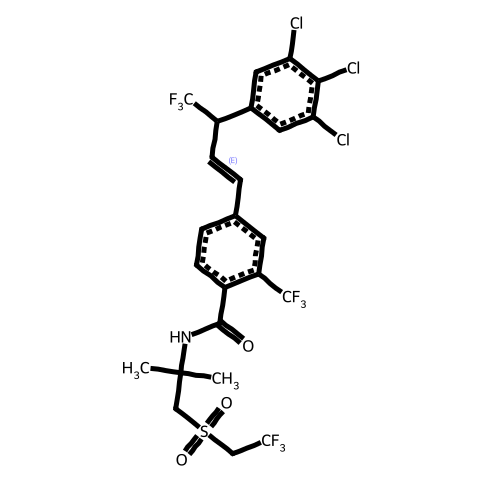 CC(C)(CS(=O)(=O)CC(F)(F)F)NC(=O)c1ccc(/C=C/C(c2cc(Cl)c(Cl)c(Cl)c2)C(F)(F)F)cc1C(F)(F)F